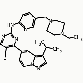 CCN1CCN(Cc2ccc(Nc3ncc(F)c(-c4ccn5ncc(C(C)C)c5c4)n3)nc2)CC1